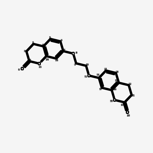 O=C1CCc2ccc(OCCOc3ccc4c(c3)OC(=O)CC4)cc2O1